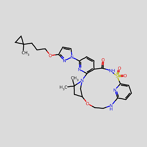 CC1(CCCOc2ccn(-c3ccc4c(n3)N3CC(CC3(C)C)OCCNc3cccc(n3)S(=O)(=O)NC4=O)n2)CC1